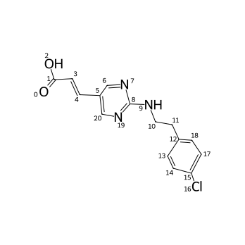 O=C(O)/C=C/c1cnc(NCCc2ccc(Cl)cc2)nc1